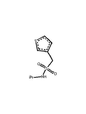 CC(C)NS(=O)(=O)Cc1ccsc1